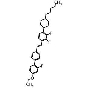 CCCCCC1CCC(c2ccc(/C=C/c3ccc(-c4ccc(OCC)cc4F)cc3)c(F)c2F)CC1